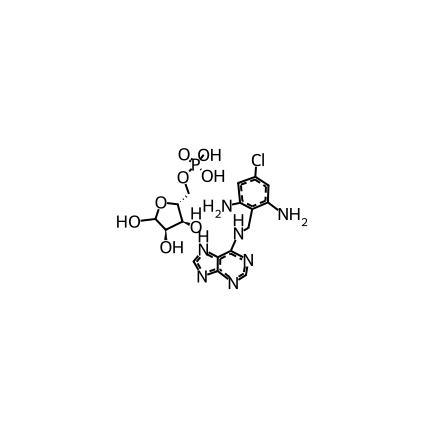 Nc1cc(Cl)cc(N)c1CNc1ncnc2nc[nH]c12.O=P(O)(O)OC[C@H]1OC(O)[C@H](O)[C@@H]1O